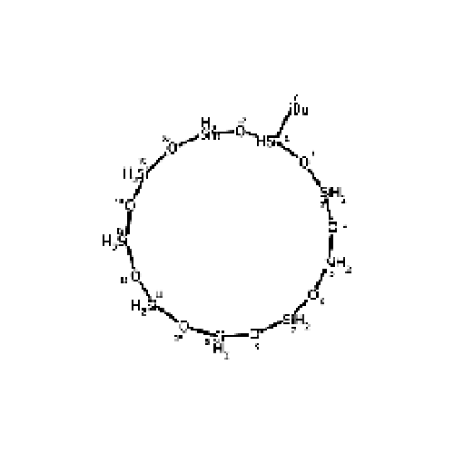 CCC(C)[SiH]1O[SiH2]O[SiH2]O[SiH2]O[SiH2]O[SiH2]O[SiH2]O[SiH2]O[SiH2]O1